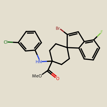 COC(=O)C1(Nc2cccc(Cl)c2)CCC2(CC1)C(Br)=Cc1c(F)cccc12